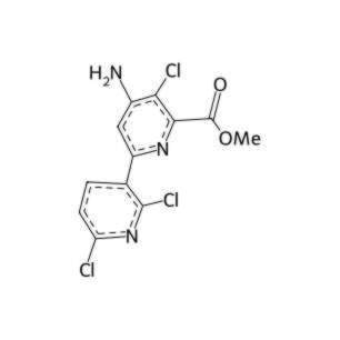 COC(=O)c1nc(-c2ccc(Cl)nc2Cl)cc(N)c1Cl